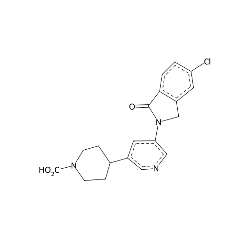 O=C(O)N1CCC(c2cncc(N3Cc4cc(Cl)ccc4C3=O)c2)CC1